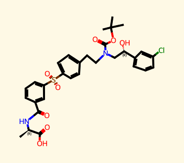 C[C@@H](NC(=O)c1cccc(S(=O)(=O)c2ccc(CCN(C[C@H](O)c3cccc(Cl)c3)C(=O)OC(C)(C)C)cc2)c1)C(=O)O